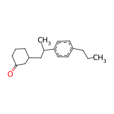 CCCc1ccc(C(C)CC2CCCC(=O)C2)cc1